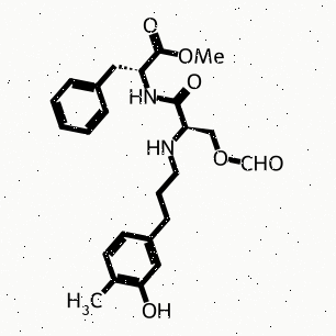 COC(=O)[C@@H](Cc1ccccc1)NC(=O)[C@@H](COC=O)NCCCc1ccc(C)c(O)c1